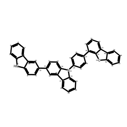 c1ccc2c(c1)[nH]c1ccc(-c3ccc4c(c3)c3ccccc3n4-c3ccc(-c4cccc5c4oc4ccccc45)cc3)cc12